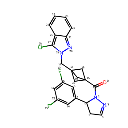 O=C(N1N=CCC1c1cc(F)cc(F)c1)C12CC(Cn3nc4ccccc4c3Cl)(C1)C2